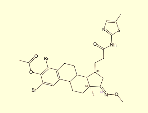 CO/N=C1\C[C@@H](CCC(=O)Nc2ncc(C)s2)C2C3CCc4c(cc(Br)c(OC(C)=O)c4Br)C3CC[C@]12C